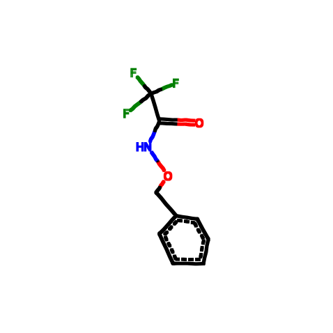 O=C(NOCc1ccccc1)C(F)(F)F